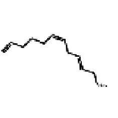 C=CCCC/C=C\CC=CCCCCCCC